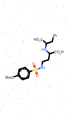 COc1ccc(S(=O)(=O)NCCC(NC(CC(C)C)C(=O)O)C(=O)O)cc1